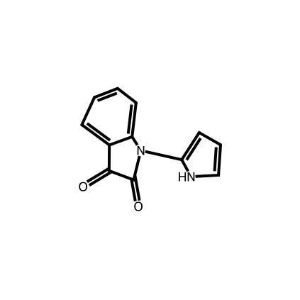 O=C1C(=O)N(c2ccc[nH]2)c2ccccc21